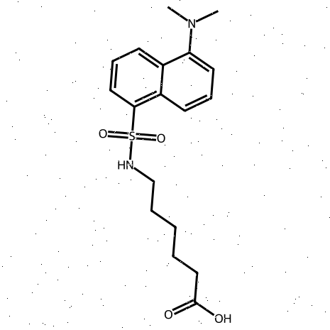 CN(C)c1cccc2c(S(=O)(=O)NCCCCCC(=O)O)cccc12